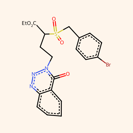 CCOC(=O)C(CCn1nnc2ccccc2c1=O)S(=O)(=O)Cc1ccc(Br)cc1